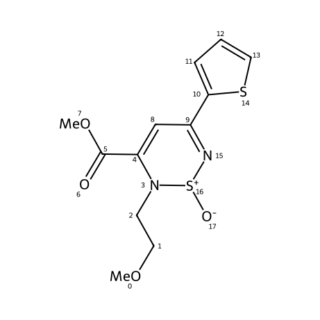 COCCN1C(C(=O)OC)=CC(c2cccs2)=N[S+]1[O-]